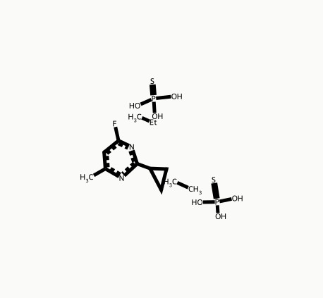 CC.CCC.Cc1cc(F)nc(C2CC2)n1.OP(O)(O)=S.OP(O)(O)=S